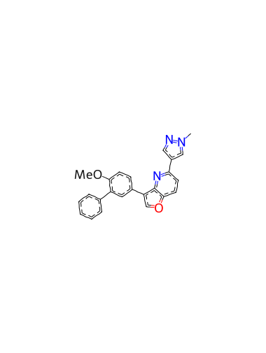 COc1ccc(-c2coc3ccc(-c4cnn(C)c4)nc23)cc1-c1ccccc1